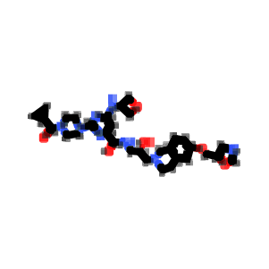 O=C(NC[C@H](O)CN1CCc2cc(OCc3cnco3)ccc2C1)c1cc(NC2COC2)nc(N2CCN(C(=O)C3CC3)CC2)n1